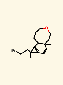 CC(C)CCC1(C)C2C=CC3(C)CCOCCCC3C21C